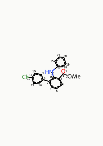 COC(=O)c1cccc(-c2ccc(Cl)cc2)c1Nc1ccccc1